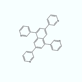 c1cncc(-c2cc(-c3cccnc3)c3cc(-c4cccnc4)cc(-c4cccnc4)c3c2)c1